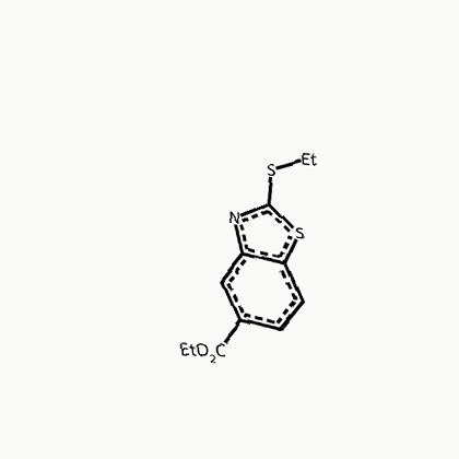 [CH2]CSc1nc2cc(C(=O)OCC)ccc2s1